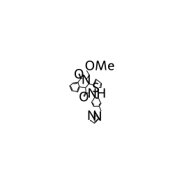 COCCN1C(=O)c2ccccc2C(C(=O)Nc2ccc(Cn3cccn3)cc2)C1c1cccs1